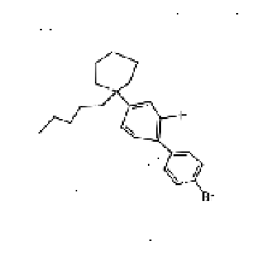 CCCCCC1(c2ccc(-c3ccc(Br)cc3)c(F)c2)CCCCC1